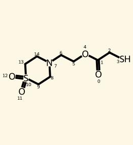 O=C(CS)OCCN1CCS(=O)(=O)CC1